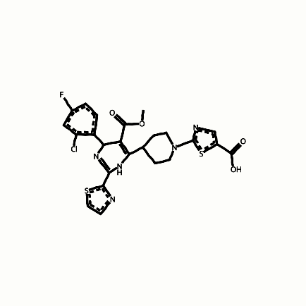 COC(=O)C1=C(C2CCN(c3ncc(C(=O)O)s3)CC2)NC(c2nccs2)=NC1c1ccc(F)cc1Cl